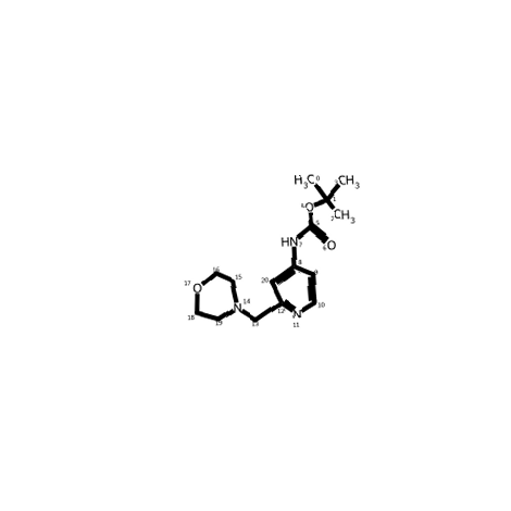 CC(C)(C)OC(=O)Nc1ccnc(CN2CCOCC2)c1